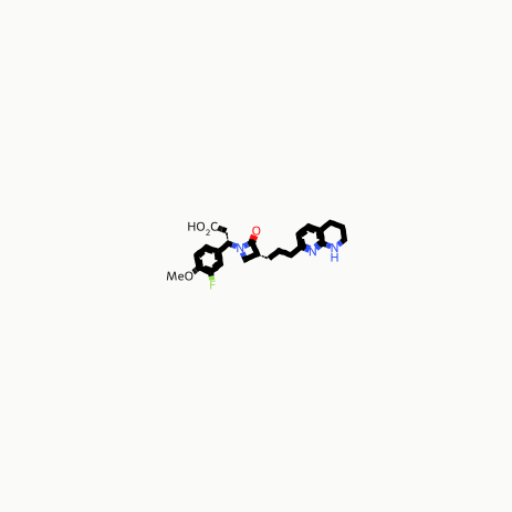 COc1ccc([C@H](CC(=O)O)N2C[C@@H](CCCc3ccc4c(n3)NCCC4)C2=O)cc1F